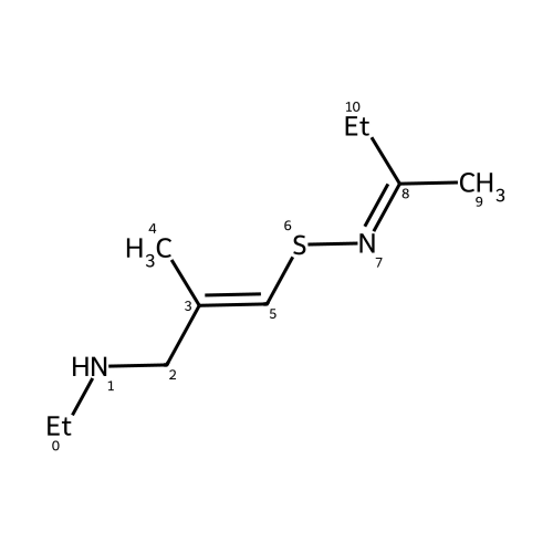 CCNC/C(C)=C/S/N=C(/C)CC